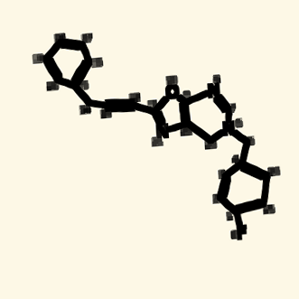 Fc1ccc(CN2C=Nc3oc(C#CCc4ccccc4)nc3C2)cc1